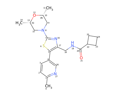 Cc1ccc(-c2sc(N3C[C@@H](C)O[C@@H](C)C3)nc2CNC(=O)C2CCC2)cn1